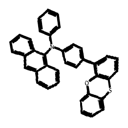 c1ccc(N(c2ccc(-c3cccc4c3Oc3ccccc3S4)cc2)c2c3ccccc3cc3ccccc23)cc1